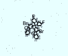 Fc1ccc(C2(c3ccc(F)cc3)c3cc(Br)c4c(oc5ccccc54)c3-c3c2cc(Br)c2oc4ccccc4c32)cc1